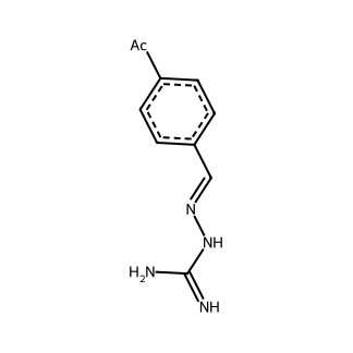 CC(=O)c1ccc(C=NNC(=N)N)cc1